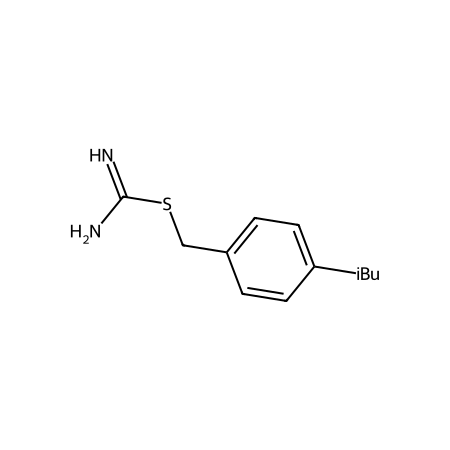 CCC(C)c1ccc(CSC(=N)N)cc1